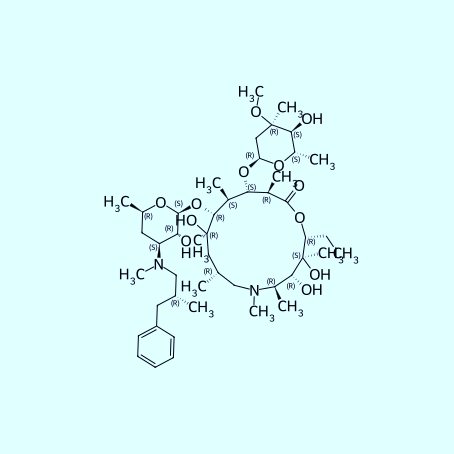 CC[C@H]1OC(=O)[C@H](C)[C@@H](O[C@H]2C[C@@](C)(OC)[C@@H](O)[C@H](C)O2)[C@H](C)[C@@H](O[C@@H]2O[C@H](C)C[C@H](N(C)C[C@H](C)Cc3ccccc3)[C@H]2O)[C@](C)(O)C[C@@H](C)CN(C)[C@H](C)[C@@H](O)[C@]1(C)O